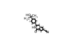 CC(C)(O)c1ccc(-c2cn3cc(C#N)cc3c(=O)[nH]2)cc1